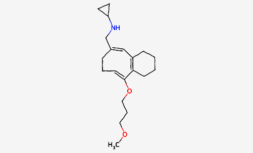 COCCCO/C1=C\CC/C(CNC2CC2)=C\C2=C1CCCC2